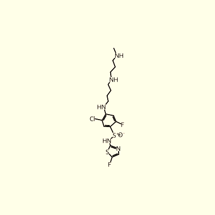 CNCCCNCCCCNc1cc(F)c([S+]([O-])Nc2ncc(F)s2)cc1Cl